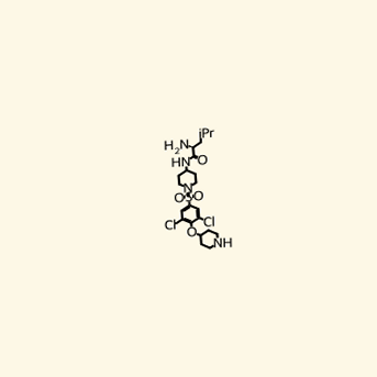 CC(C)C[C@H](N)C(=O)NC1CCN(S(=O)(=O)c2cc(Cl)c(OC3CCNCC3)c(Cl)c2)CC1